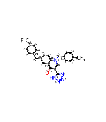 O=c1c(-c2nnn[nH]2)cn(Cc2ccc(C(F)(F)F)cc2)c2ccc(Cc3ccc(C(F)(F)F)cc3)cc12